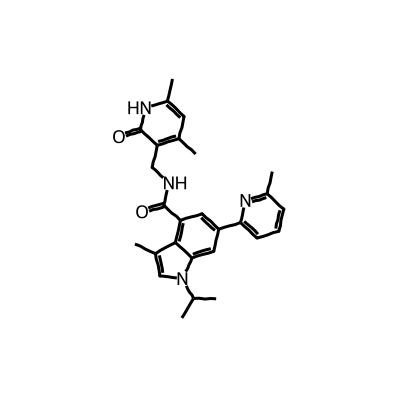 Cc1cccc(-c2cc(C(=O)NCc3c(C)cc(C)[nH]c3=O)c3c(C)cn(C(C)C)c3c2)n1